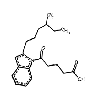 CCC(C)CCCc1cc2ccccc2n1C(=O)CCCC(=O)O